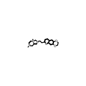 CN1C=CS2(C)CN(CCc3ccc4cc5c(cc4n3)OCCO5)C=C2C1